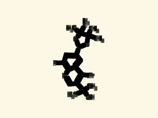 CC(C)c1c(C(C)(C)O)cnc2c(F)cc(B3OC(C)(C)C(C)(C)O3)cc12